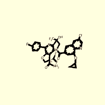 NC(=O)[C@@]1(C(F)F)COc2c1cc(C(O)(CNC(=O)c1cc(OC3CC3)c3ncc(Cl)cc3c1)C(F)(F)F)nc2-c1ccc(F)cc1